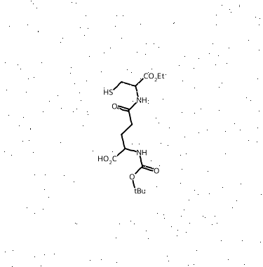 CCOC(=O)C(CS)NC(=O)CCC(NC(=O)OC(C)(C)C)C(=O)O